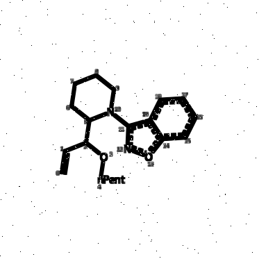 C=CC(OCCCCC)C1CCCCN1c1noc2ccccc12